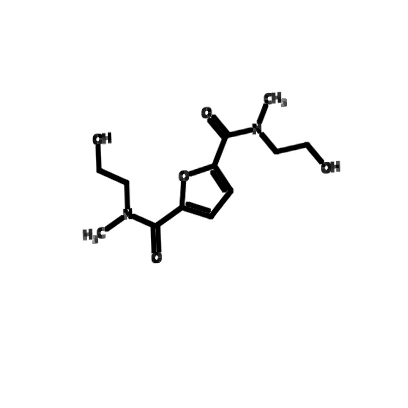 CN(CCO)C(=O)c1ccc(C(=O)N(C)CCO)o1